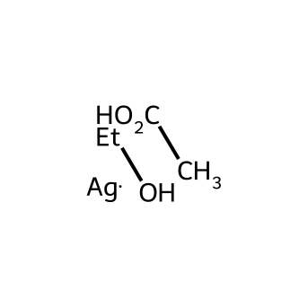 CC(=O)O.CCO.[Ag]